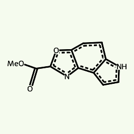 COC(=O)c1nc2c(ccc3[nH]ccc32)o1